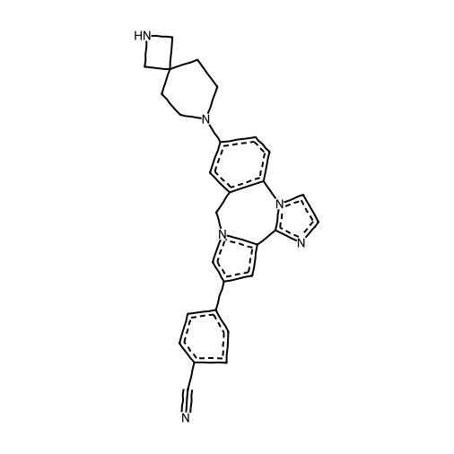 N#Cc1ccc(-c2cc3n(c2)Cc2cc(N4CCC5(CC4)CNC5)ccc2-n2ccnc2-3)cc1